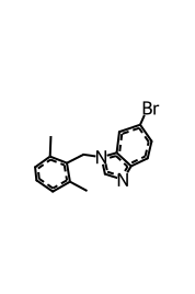 Cc1cccc(C)c1Cn1cnc2ccc(Br)cc21